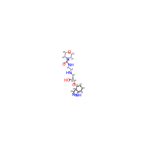 O=C(NCCNC[C@H](O)COc1cccc2[nH]ncc12)N1CCOCC1